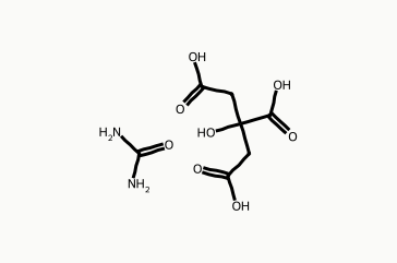 NC(N)=O.O=C(O)CC(O)(CC(=O)O)C(=O)O